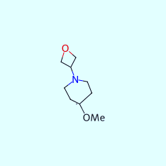 CO[C]1CCN(C2COC2)CC1